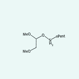 CCCCC[SiH2]OC(COC)OC